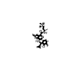 C[C@H](/C=C/S(C)(=O)=O)NC(=O)c1ncc(NC(c2cccc(F)c2Cl)C2CC2)c2nn(C)cc12